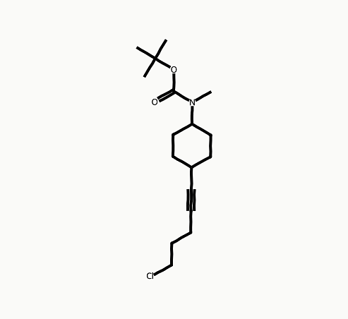 CN(C(=O)OC(C)(C)C)C1CCC(C#CCCCCl)CC1